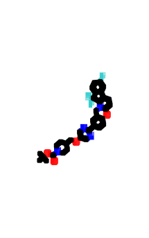 CC(C)(C)OC(=O)N1CCC(COc2cnc(-c3cccc(Cn4c5c(ccc4=O)-c4cc(F)ccc4C5(F)F)c3)nc2)CC1